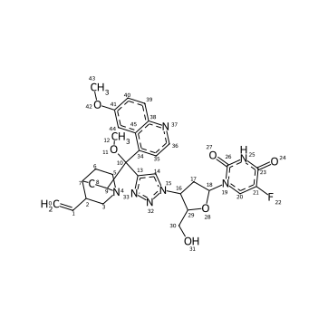 C=CC1CN2CCC1CC2C(OC)(c1cn(C2CC(n3cc(F)c(=O)[nH]c3=O)OC2CO)nn1)c1ccnc2ccc(OC)cc12